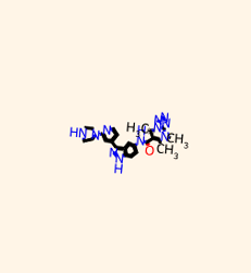 CC1=C(C(=O)Nc2ccc3[nH]nc(-c4ccnc(N5CCNCC5)c4)c3c2)[C@H](C)n2nnnc2N1C